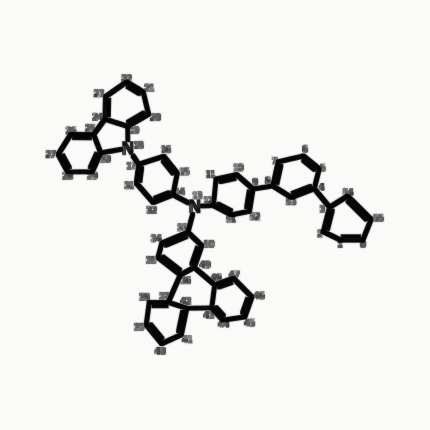 c1ccc(-c2cccc(-c3ccc(N(c4ccc(-n5c6ccccc6c6ccccc65)cc4)c4ccc5c6ccccc6c6ccccc6c5c4)cc3)c2)cc1